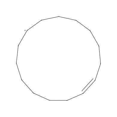 [CH]1CCCCCCC=CCCCCCC1